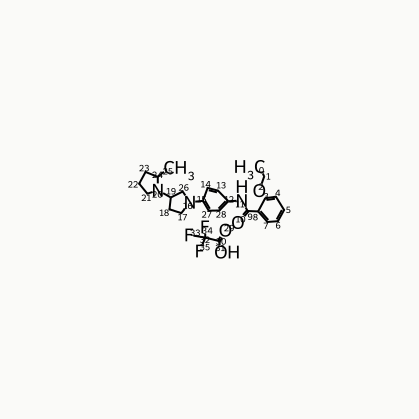 CCOc1ccccc1C(=O)Nc1ccc(N2CCC(N3CCCC3C)C2)cc1.O=C(O)C(F)(F)F